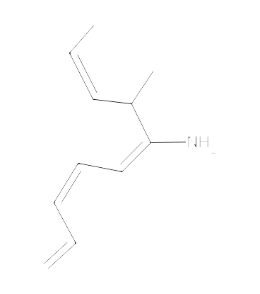 C=C/C=C\C=C(\N)C(C)/C=C\C